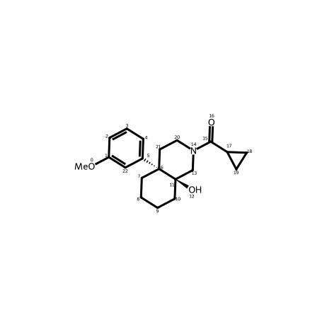 COc1cccc([C@@]23CCCC[C@@]2(O)CN(C(=O)C2CC2)CC3)c1